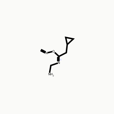 C=NO/C(CC1CC1)=N\CN